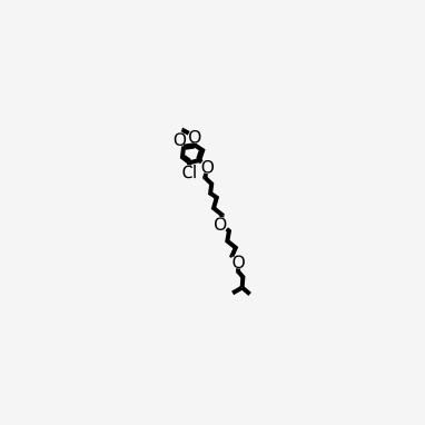 CC(C)CCOCCCCOCCCCCCOc1cc2c(cc1Cl)OCO2